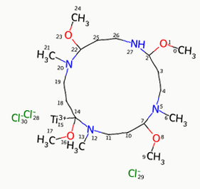 COC1CCN(C)C(OC)CCN(C)[C]([Ti+3])(OC)CCN(C)C(OC)CCN1.[Cl-].[Cl-].[Cl-]